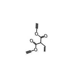 C#COC(=O)C(C=C)C(=O)OC#C